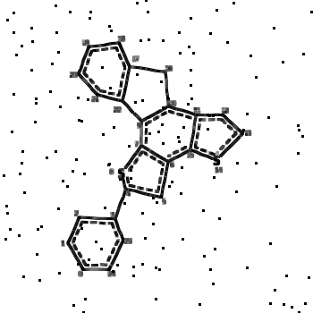 c1ccc(-c2cc3c(s2)c2c(c4ccsc43)Cc3ccccc3-2)cc1